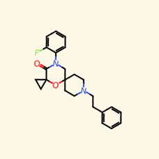 O=C1N(c2ccccc2F)CC2(CCN(CCc3ccccc3)CC2)OC12CC2